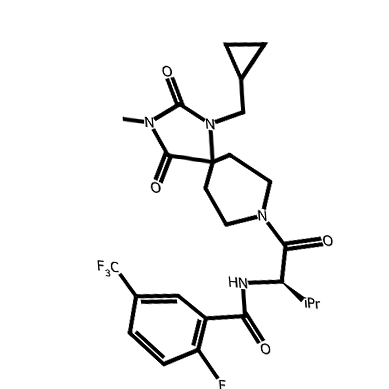 CC(C)[C@@H](NC(=O)c1cc(C(F)(F)F)ccc1F)C(=O)N1CCC2(CC1)C(=O)N(C)C(=O)N2CC1CC1